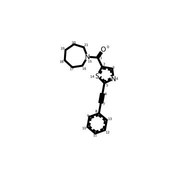 O=C(c1cnc(C#Cc2ccccc2)s1)N1CCCCCC1